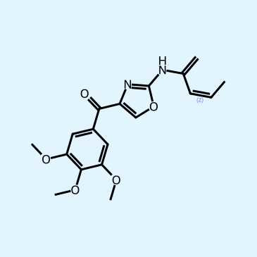 C=C(/C=C\C)Nc1nc(C(=O)c2cc(OC)c(OC)c(OC)c2)co1